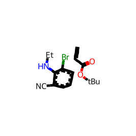 C=CC(=O)OC(C)(C)C.CCNc1c(Br)cccc1C#N